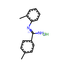 Cc1ccc(/C(N)=N/c2ccccc2C)cc1.Cl